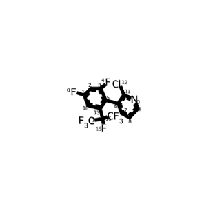 Fc1[c]c(F)c(-c2cccnc2Cl)c(C(F)(C(F)(F)F)C(F)(F)F)c1